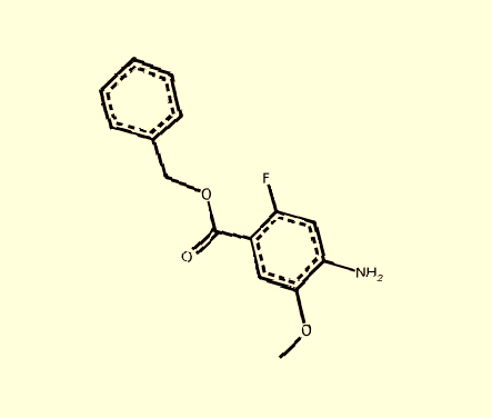 COc1cc(C(=O)OCc2ccccc2)c(F)cc1N